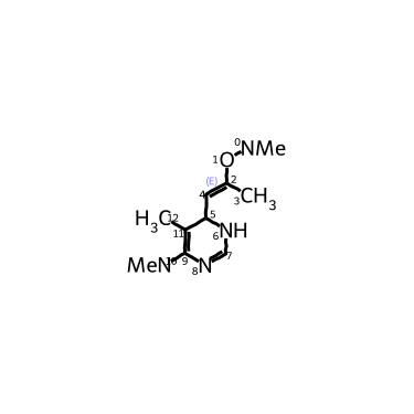 CNO/C(C)=C/C1NC=NC(NC)=C1C